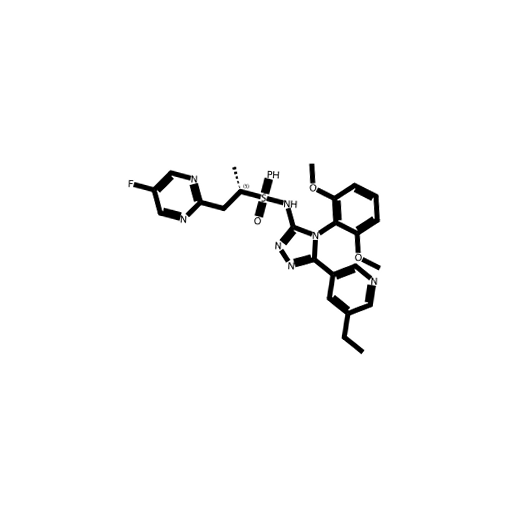 CCc1cncc(-c2nnc(NS(=O)(=P)[C@@H](C)Cc3ncc(F)cn3)n2-c2c(OC)cccc2OC)c1